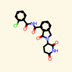 O=C1CCC(N2Cc3cccc(C(=O)NC(=O)c4ccccc4Cl)c3C2=O)C(=O)N1